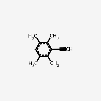 C#Cc1c(C)c(C)[c]c(C)c1C